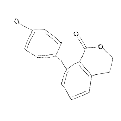 O=C1OCCc2cccc(-c3ccc(Cl)cc3)c21